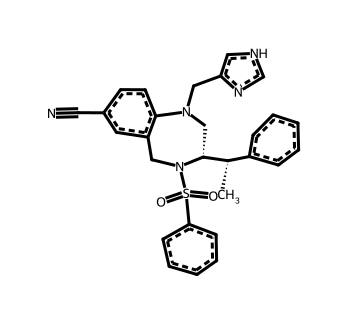 C[C@@H](c1ccccc1)[C@H]1CN(Cc2c[nH]cn2)c2ccc(C#N)cc2CN1S(=O)(=O)c1ccccc1